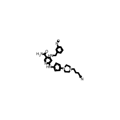 N#CCCCN1CCN(c2ccc(Nc3cc(NCc4cccc(N=O)c4)c(C(N)=O)cn3)cc2)CC1